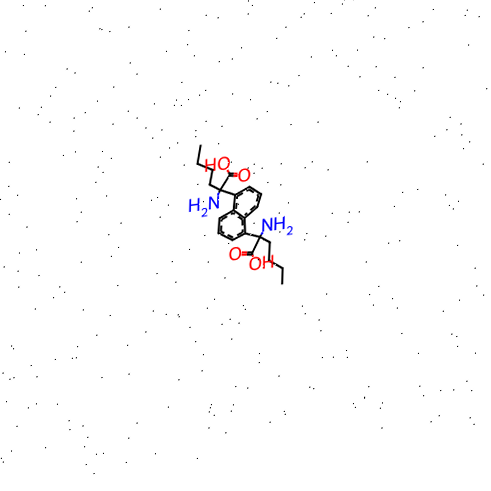 CCCCC(N)(C(=O)O)c1cccc2c(C(N)(CCCC)C(=O)O)cccc12